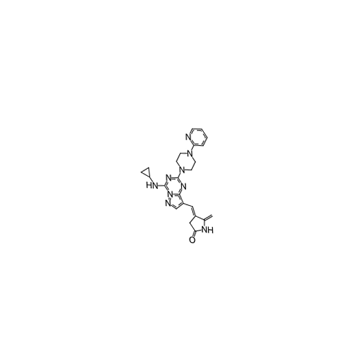 C=C1NC(=O)C/C1=C\c1cnn2c(NC3CC3)nc(N3CCN(c4ccccn4)CC3)nc12